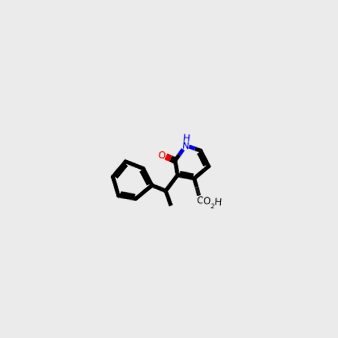 CC(c1ccccc1)c1c(C(=O)O)cc[nH]c1=O